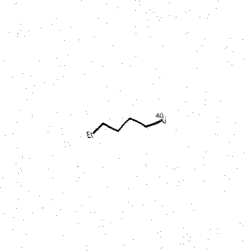 [40Li][CH2]CCCCC